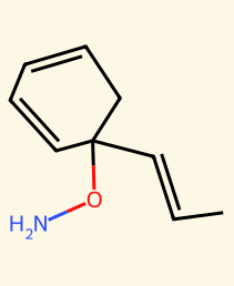 CC=CC1(ON)C=CC=CC1